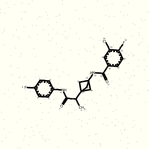 CC(C(=O)Nc1ccc(F)cc1)C12CC(NC(=O)c3ccc(F)c(Cl)c3)(C1)C2